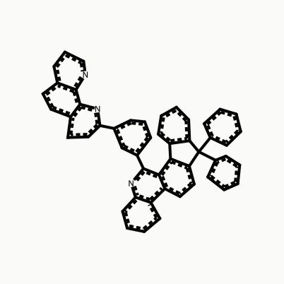 c1ccc(C2(c3ccccc3)c3ccccc3-c3c2ccc2c3c(-c3cccc(-c4ccc5ccc6cccnc6c5n4)c3)nc3ccccc32)cc1